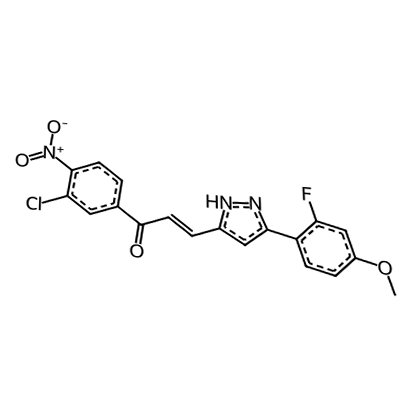 COc1ccc(-c2cc(C=CC(=O)c3ccc([N+](=O)[O-])c(Cl)c3)[nH]n2)c(F)c1